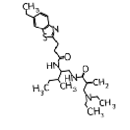 C=C(CN(CC)CC)C(=O)NCC(NC(=O)CCc1nc2ccc(CC)cc2s1)C(C)CC